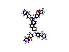 c1cnc2oc3cc(N(c4ccc5c(ccc6cc(N(c7ccc8c(c7)oc7ncccc78)c7ccc8c(c7)oc7ncccc78)ccc65)c4)c4ccc5c(c4)oc4ncccc45)ccc3c2c1